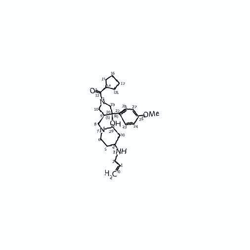 C=CCNC1CCN(C[C@H]2CN(C(=O)C3CCCC3)C[C@]2(O)c2ccc(OC)cc2)CC1